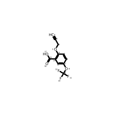 C#CCOc1ccc(OC(F)(F)F)cc1C(=O)O